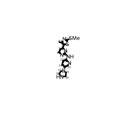 CSc1nc(C)c(-c2ccnc(Nc3ccc(N4CCNCC4)cn3)n2)s1